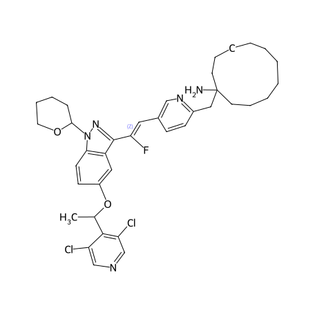 CC(Oc1ccc2c(c1)c(/C(F)=C/c1ccc(CC3(N)CCCCCCCCCC3)nc1)nn2C1CCCCO1)c1c(Cl)cncc1Cl